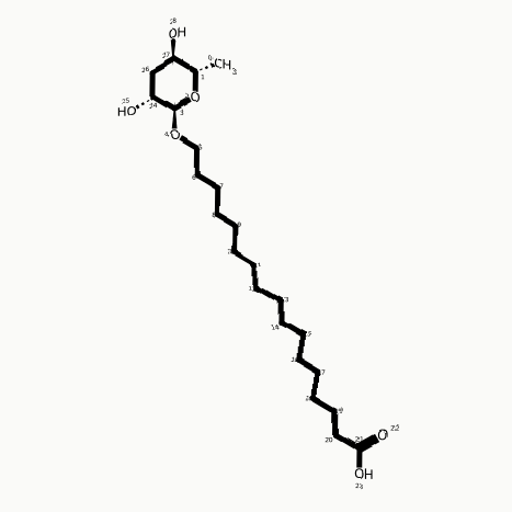 C[C@@H]1O[C@@H](OCCCCCCCCCCCCCCCCC(=O)O)[C@H](O)C[C@H]1O